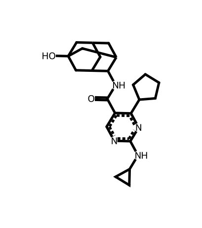 O=C(NC1C2CC3CC1CC(O)(C3)C2)c1cnc(NC2CC2)nc1C1CCCC1